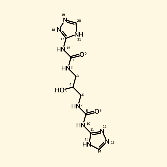 O=C(NCC(O)CNC(=O)Nc1nnc[nH]1)Nc1nnc[nH]1